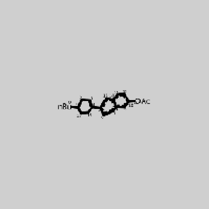 CCCCC1CC=C(c2ccc3cc(OC(C)=O)ccc3c2)CC1